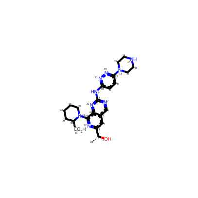 C[C@@H](O)c1cc2cnc(Nc3ccc(N4CCNCC4)nn3)nc2c(N2CCCCC2C(=O)O)n1